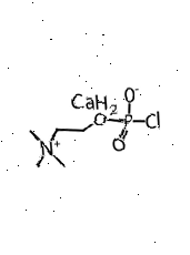 C[N+](C)(C)CCOP(=O)([O-])Cl.[CaH2]